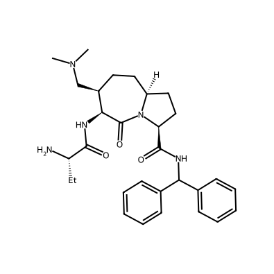 CC[C@H](N)C(=O)N[C@@H]1C(=O)N2[C@@H](CC[C@@H]1CN(C)C)CC[C@H]2C(=O)NC(c1ccccc1)c1ccccc1